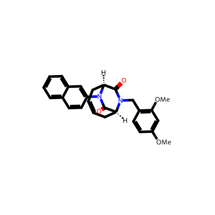 COc1ccc(CN2C(=O)[C@@H]3CC=CC[C@H]2C(=O)N3c2ccc3ccccc3c2)c(OC)c1